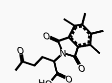 CC(=O)CCC(C(=O)O)N1C(=O)c2c(C)c(C)c(C)c(C)c2C1=O